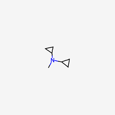 CN(C1CC1)C1CC1